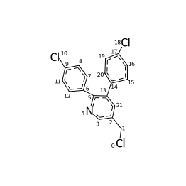 ClCc1cnc(-c2ccc(Cl)cc2)c(-c2ccc(Cl)cc2)c1